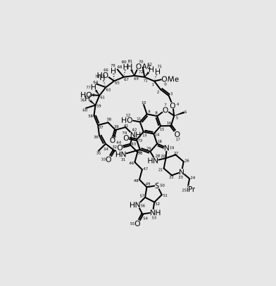 CO[C@H]1/C=C/O[C@@]2(C)Oc3c(C)c(O)c4c(c3C2=O)C2=NC3(CCN(CC(C)C)CC3)NC2=C(NC(=O)/C(C)=C\C(CC(=O)CNC(=O)CCCCC2SCC3NC(=O)NC32)=C\[C@H](C)[C@H](O)[C@@H](C)[C@@H](O)[C@@H](C)[C@H](OC(C)=O)[C@@H]1C)C4=O